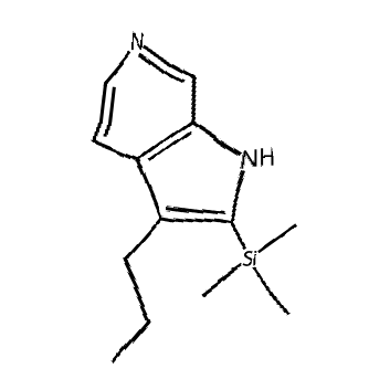 CCCc1c([Si](C)(C)C)[nH]c2cnccc12